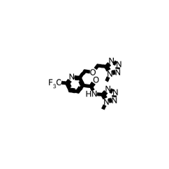 Cn1nnnc1COCc1nc(C(F)(F)F)ccc1C(=O)Nc1nnnn1C